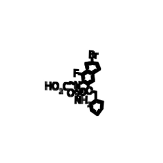 NS(=O)(=O)N(CC(=O)O)c1c(OCc2ccccc2)cc2ccc(Br)cc2c1F